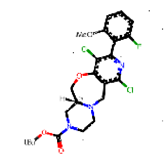 COc1cccc(F)c1-c1nc(Cl)c2c(c1Cl)OC[C@H]1CN(C(=O)OC(C)(C)C)CCN1C2